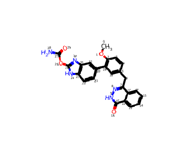 COc1ccc(Cc2n[nH]c(=O)c3ccccc23)cc1-c1ccc2[nH]c(OC(N)=O)nc2c1